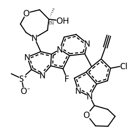 C#Cc1c(Cl)cc2c(cnn2C2CCCCO2)c1-c1nccn2c1c(F)c1nc([S+](C)[O-])nc(N3CCOC[C@@](C)(O)C3)c12